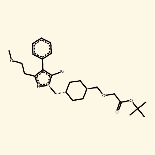 COCCc1nn(C[C@H]2CC[C@H](COCC(=O)OC(C)(C)C)CC2)c(Br)c1-c1ccccc1